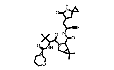 CC(C)(C)C(NC(=O)N1CCCOC1)C(=O)N1CC2C(C1C(=O)NC(C#N)CC1CC3(CC3)NC1=O)C2(C)C